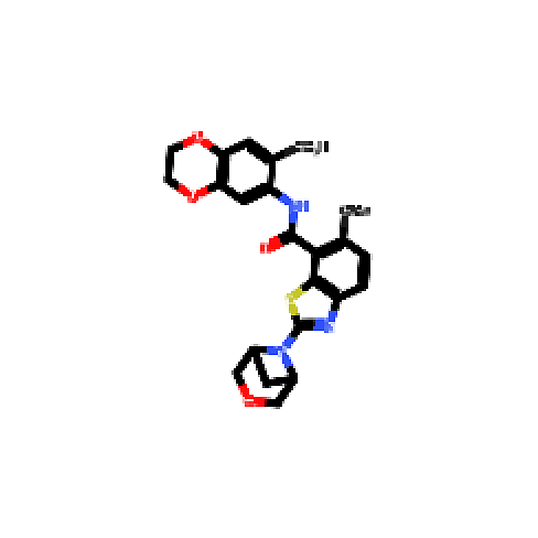 COc1ccc2nc(N3C4COCC3C4)sc2c1C(=O)Nc1cc2c(cc1C(=O)O)OCCO2